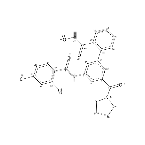 O=C(Nc1cc(C(=O)N2CCCC2)cc(-c2ccccc2C(=O)NO)c1)c1ccc(Cl)cc1Cl